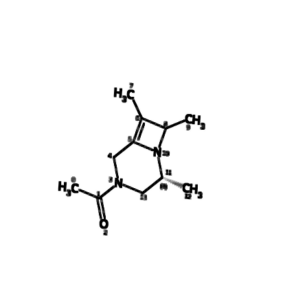 CC(=O)N1CC2=C(C)C(C)N2[C@H](C)C1